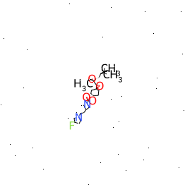 CC(C)=CC[C@H]1O[C@@]1(C)C1OC12CCC(OC(=O)N1CC(CCN3CC[C@@H](F)C3)C1)CC2